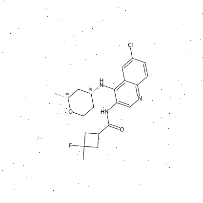 C[C@@H]1C[C@H](Nc2c(NC(=O)C3CC(C)(F)C3)cnc3ccc(Cl)cc23)CCO1